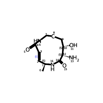 C[C@H]1/C=C/C(=O)NCCC[C@H](O)[C@H](N)C(=O)N1